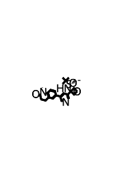 CN1C(=O)CCc2cc(-c3cncc(C4(N[S@+]([O-])C(C)(C)C)COC4)c3)ccc21